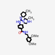 COc1ccc(CCNC(=O)c2ccc(N/C(=N/C3CCC(C)CC3)N3CCN[C@@H](C)C3)cc2)c(OC)c1